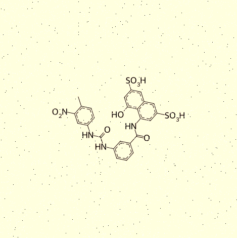 Cc1ccc(NC(=O)Nc2cccc(C(=O)Nc3cc(S(=O)(=O)O)cc4cc(S(=O)(=O)O)cc(O)c34)c2)cc1[N+](=O)[O-]